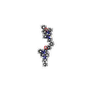 c1ccc(-c2ccc(-n3c4ccccc4c4c3ccc3c5ccccc5n(-c5ccc6c(c5)oc5cc(-c7cccc(-c8ccc(-n9c%10ccccc%10c%10c9ccc9c%11ccccc%11n(-c%11cccc%12c%11oc%11ccccc%11%12)c9%10)cc8)c7)ccc56)c34)cc2)cc1